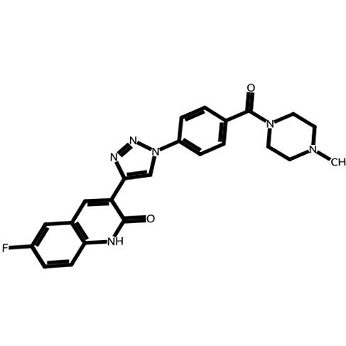 CN1CCN(C(=O)c2ccc(-n3cc(-c4cc5cc(F)ccc5[nH]c4=O)nn3)cc2)CC1